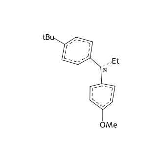 CC[C@H](c1ccc(OC)cc1)c1ccc(C(C)(C)C)cc1